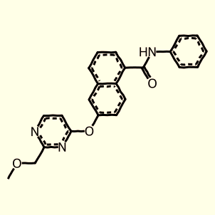 COCc1nccc(Oc2ccc3c(C(=O)Nc4ccccc4)cccc3c2)n1